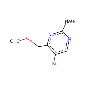 CNc1ncc(Br)c(COC=O)n1